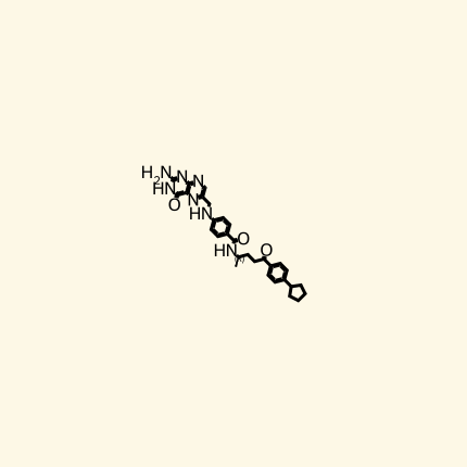 C[C@H](CCC(=O)c1ccc(C2CCCC2)cc1)NC(=O)c1ccc(NCc2cnc3nc(N)[nH]c(=O)c3n2)cc1